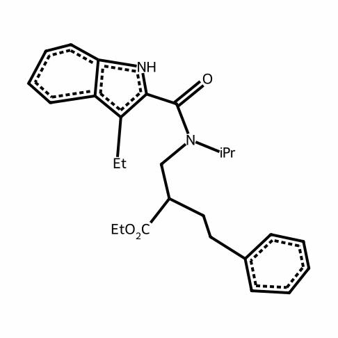 CCOC(=O)C(CCc1ccccc1)CN(C(=O)c1[nH]c2ccccc2c1CC)C(C)C